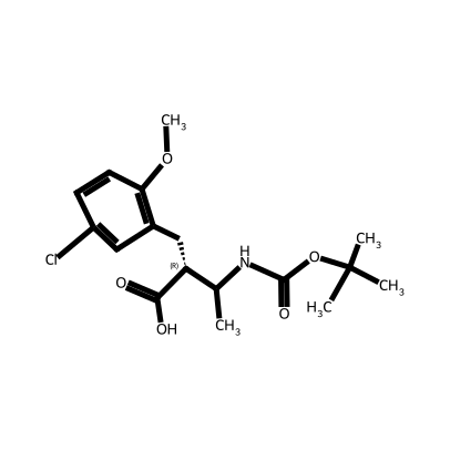 COc1ccc(Cl)cc1C[C@@H](C(=O)O)C(C)NC(=O)OC(C)(C)C